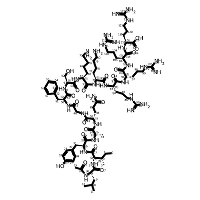 CC[C@H](C)[C@H](NC(=O)[C@H](CC(C)C)NC(C)=O)C(=O)N[C@@H](Cc1ccc(O)cc1)C(=O)N[C@@H](C)C(=O)N[C@@H](CCC(N)=O)C(=O)NCC(=O)N[C@@H](Cc1ccccc1)C(=O)N[C@@H](CO)C(=O)N[C@@H](CCCCN)C(=O)N[C@@H](CCCCN)C(=O)N[C@@H](CCCNC(=N)N)C(=O)N[C@@H](CCCNC(=N)N)C(=O)N[C@@H](CCCNC(=N)N)C(=O)N[C@@H](CCCNC(=N)N)C(=O)O